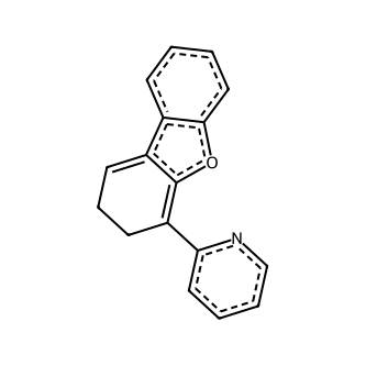 C1=c2c(oc3ccccc23)=C(c2ccccn2)CC1